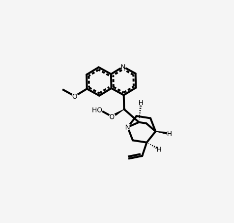 C=C[C@H]1CN2CC[C@H]1C[C@@H]2[C@@H](OO)c1ccnc2ccc(OC)cc12